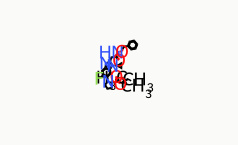 CC(C)(C)OC(=O)[C@@H]1CCCN1c1cc2c(cc1F)nc(CC(=O)NOCc1ccccc1)n2C1CC1